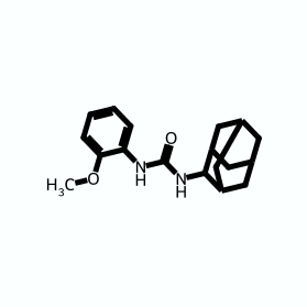 COc1ccccc1NC(=O)NC1C2CC3CC(C2)CC1C3